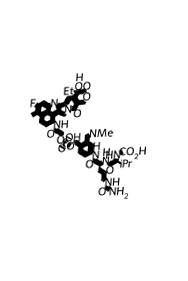 CC[C@@]1(O)C(=O)OCc2c1cc1n(c2=O)Cc2c-1nc1cc(F)c(C)c3c1c2[C@@H](NC(=O)COP(=O)(O)OCc1ccc(NC(=O)[C@H](CCCNC(N)=O)NC(=O)[C@@H](NC(=O)O)C(C)C)cc1CNC)CC3